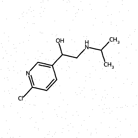 CC(C)NCC(O)c1ccc(Cl)nc1